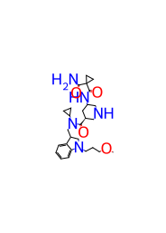 COCCCN1CC(CN(C(=O)[C@@H]2CNC[C@H](NC(=O)C3(C(N)=O)CC3)C2)C2CC2)c2ccccc21